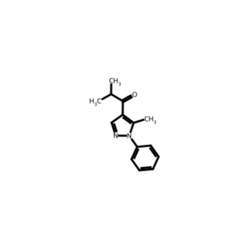 Cc1c(C(=O)C(C)C)cnn1-c1ccccc1